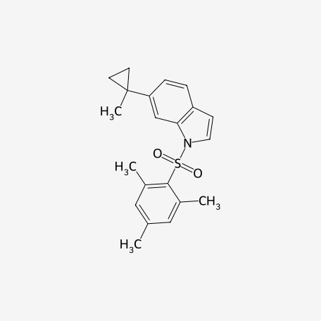 Cc1cc(C)c(S(=O)(=O)n2ccc3ccc(C4(C)CC4)cc32)c(C)c1